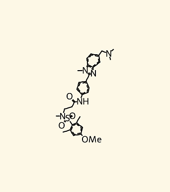 COc1cc(C)c(S(=O)(=O)N(C)CCC(=O)Nc2ccc(-c3nc4cc(CN(C)C)ccc4n3C)cc2)c(C)c1